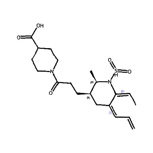 C=C/C=C1/C[C@@H](CCC(=O)N2CCC(C(=O)O)CC2)[C@@H](C)N([SH](=O)=O)/C1=C/C